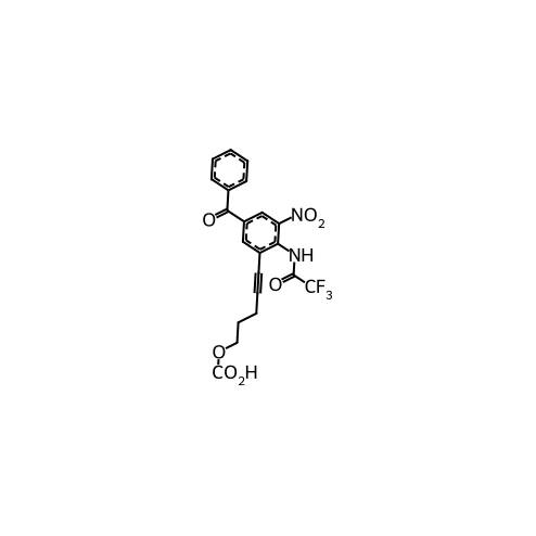 O=C(O)OCCCC#Cc1cc(C(=O)c2ccccc2)cc([N+](=O)[O-])c1NC(=O)C(F)(F)F